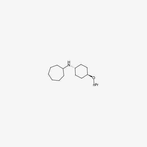 CCCO[C@H]1CC[C@H](NC2CCCCCC2)CC1